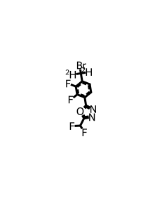 [2H]C([2H])(Br)c1ccc(-c2nnc(C(F)F)o2)c(F)c1F